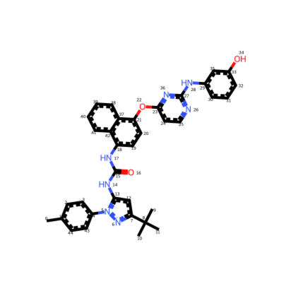 Cc1ccc(-n2nc(C(C)(C)C)cc2NC(=O)Nc2ccc(Oc3ccnc(Nc4cccc(O)c4)n3)c3ccccc23)cc1